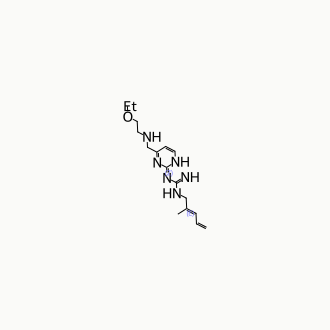 C=C/C=C(\C)CNC(=N)/N=c1/nc(CNCCOCC)cc[nH]1